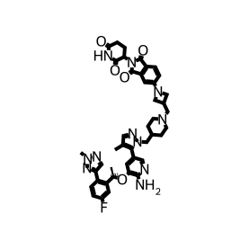 Cc1cnn(CC2CCN(CC3CN(c4ccc5c(c4)C(=O)N(C4CCC(=O)NC4=O)C5=O)C3)CC2)c1-c1cnc(N)c(O[C@H](C)c2cc(F)ccc2-c2cnn(C)n2)c1